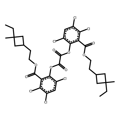 CCC1(C)CC(CCOC(=O)c2c(Cl)c(Cl)cc(Cl)c2OC(=O)C(=O)Oc2c(Cl)cc(Cl)c(Cl)c2C(=O)OCCC2CC(C)(CC)C2)C1